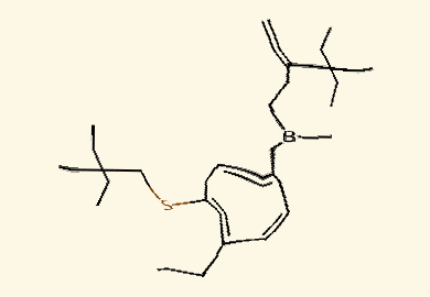 C=C(CB(C)c1ccc(CC)c(SCC(C)(C)C)c1)C(C)(C)C